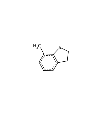 Cc1cccc2c1SCC2